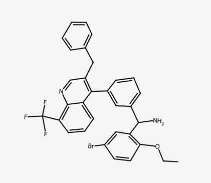 CCOc1ccc(Br)cc1C(N)c1cccc(-c2c(Cc3ccccc3)cnc3c(C(F)(F)F)cccc23)c1